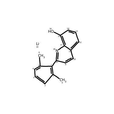 Cc1cccc(C)c1-c1ccc2cccc(O)c2n1.[Li]